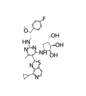 CO[C@@H](CNc1nc(C)c(-c2nc3c(C4CC4)nccc3s2)c(N[C@@H]2C[C@H](CO)[C@@H](O)[C@H]2O)n1)c1ccc(F)cc1